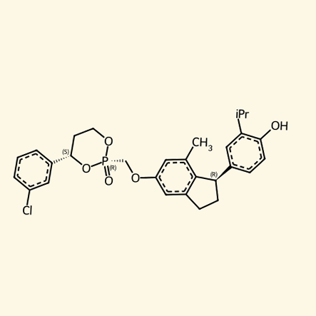 Cc1cc(OC[P@@]2(=O)OCC[C@@H](c3cccc(Cl)c3)O2)cc2c1[C@@H](c1ccc(O)c(C(C)C)c1)CC2